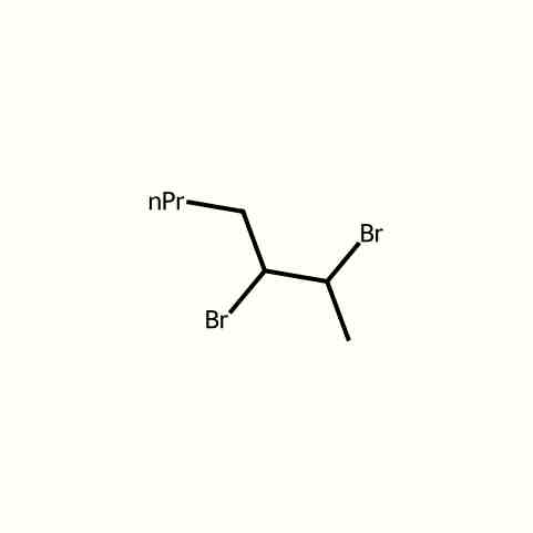 CCCCC(Br)C(C)Br